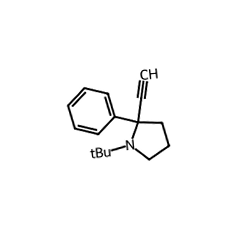 C#CC1(c2ccccc2)CCCN1C(C)(C)C